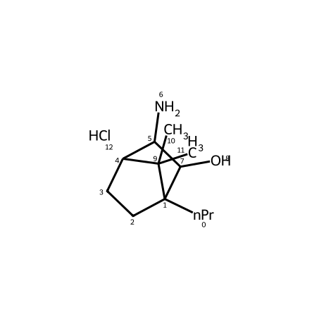 CCCC12CCC(C(N)C1O)C2(C)C.Cl